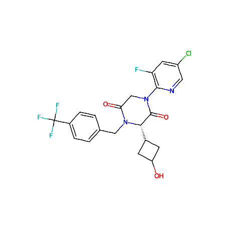 O=C1[C@H](C2CC(O)C2)N(Cc2ccc(C(F)(F)F)cc2)C(=O)CN1c1ncc(Cl)cc1F